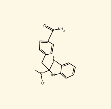 C[S+]([O-])C1(Cc2ccc(C(N)=O)cc2)Nc2ccccc2N1